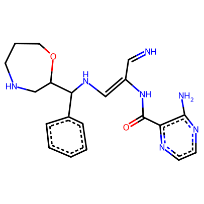 N=C/C(=C\NC(c1ccccc1)C1CNCCCO1)NC(=O)c1nccnc1N